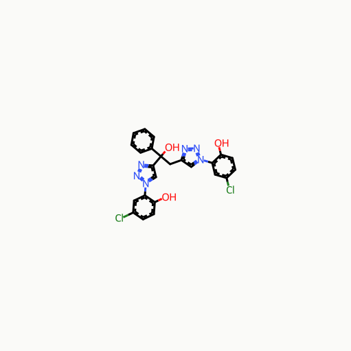 Oc1ccc(Cl)cc1-n1cc(CC(O)(c2ccccc2)c2cn(-c3cc(Cl)ccc3O)nn2)nn1